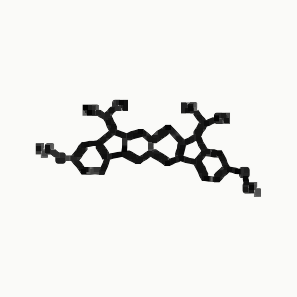 N#CC(C#N)=C1c2cc(OC(F)(F)F)ccc2-c2cc3cc4c(cc3cc21)C(=C(C#N)C#N)c1cc(OC(F)(F)F)ccc1-4